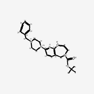 CC(C)(C)OC(=O)N1CCOc2nc(N3CCN(Cc4ccccc4)CC3)ccc2C1